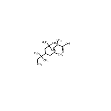 CCC(C)(C)C(CC(C)CC(C)C(=O)O)CC(C)(C)C